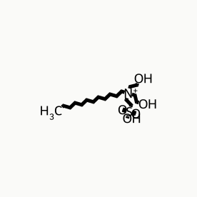 CCCCCCCCCCCC[N+](CCO)(CCO)CCS(=O)(=O)O